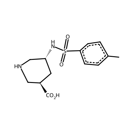 Cc1ccc(S(=O)(=O)N[C@H]2CNC[C@H](C(=O)O)C2)cc1